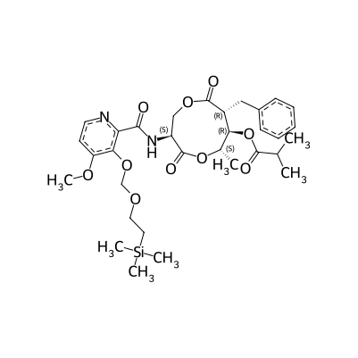 COc1ccnc(C(=O)N[C@H]2COC(=O)[C@H](Cc3ccccc3)[C@@H](OC(=O)C(C)C)[C@H](C)OC2=O)c1OCOCC[Si](C)(C)C